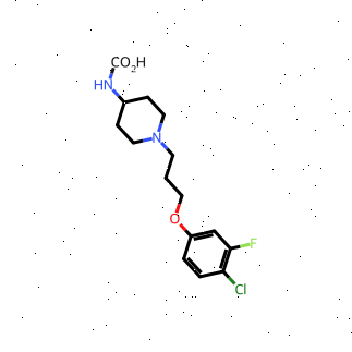 O=C(O)NC1CCN(CCCOc2ccc(Cl)c(F)c2)CC1